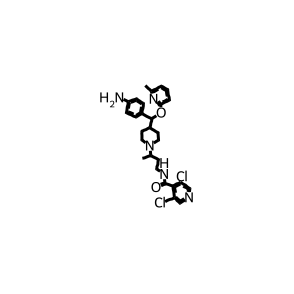 Cc1cccc(OC(c2ccc(N)cc2)C2CCN(C(C)CCNC(=O)c3c(Cl)cncc3Cl)CC2)n1